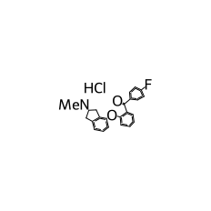 CNC1Cc2cccc(Oc3ccccc3C(=O)c3ccc(F)cc3)c2C1.Cl